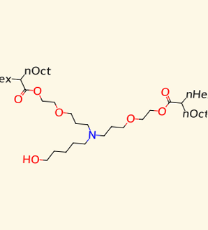 CCCCCCCCC(CCCCCC)C(=O)OCCOCCCN(CCCCCO)CCCOCCOC(=O)C(CCCCCC)CCCCCCCC